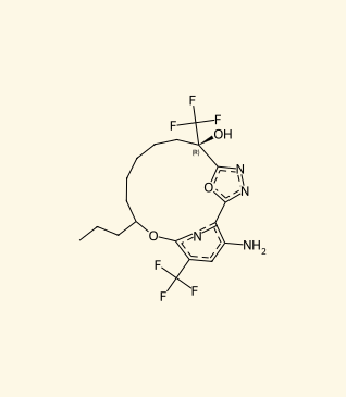 CCCC1CCCCC[C@](O)(C(F)(F)F)c2nnc(o2)-c2nc(c(C(F)(F)F)cc2N)O1